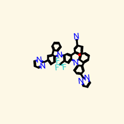 N#Cc1cccc(-c2cc(-n3c4ccccc4c4cc(-c5ncccn5)ccc43)c(C(F)(F)F)cc2-n2c3ccccc3c3cc(-c4ncccn4)ccc32)c1